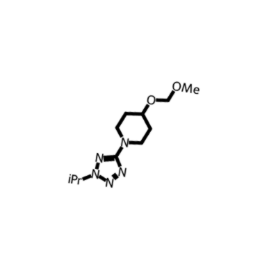 COCOC1CCN(c2nnn(C(C)C)n2)CC1